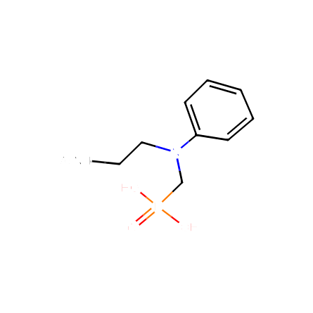 CC(=O)NCCN(CP(=O)(O)O)c1ccccc1